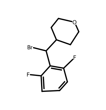 Fc1cccc(F)c1C(Br)C1CCOCC1